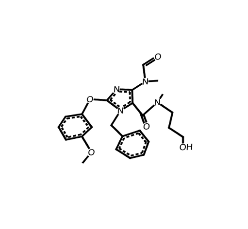 COc1cccc(Oc2nc(N(C)C=O)c(C(=O)N(C)CCCO)n2Cc2ccccc2)c1